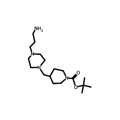 CC(C)(C)OC(=O)N1CCC(CN2CCN(CCCN)CC2)CC1